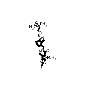 Cn1c2nc(I)sc2c2cnn(Cc3cccc4c3cnn4COCC[Si](C)(C)C)c(=O)c21